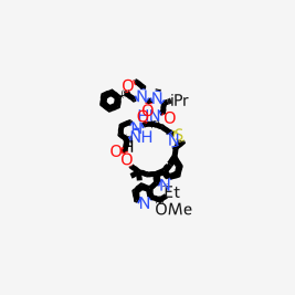 CCn1c(-c2cccnc2[C@H](C)OC)c2c3cc(ccc31)-c1csc(n1)C[C@H](NC(=O)C(C(C)C)N(C)C(=O)N1CCO[C@@H](c3ccccc3)C1)C(=O)N1CCC[C@H](N1)C(=O)OCC(C)(C)C2